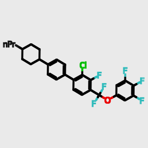 CCCC1CCC(c2ccc(-c3ccc(C(F)(F)Oc4cc(F)c(F)c(F)c4)c(F)c3Cl)cc2)CC1